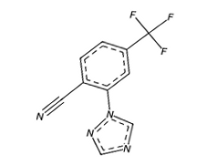 N#Cc1ccc(C(F)(F)F)cc1-n1cncn1